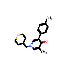 Cc1ccc(-c2cn(CC3CCSCC3)cc(C)c2=O)cc1